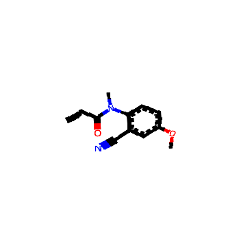 C=CC(=O)N(C)c1ccc(OC)cc1C#N